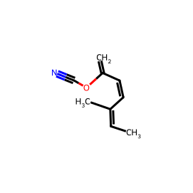 C=C(/C=C\C(C)=C/C)OC#N